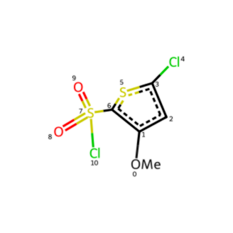 COc1cc(Cl)sc1S(=O)(=O)Cl